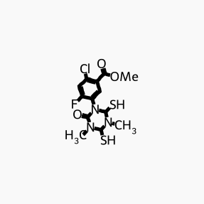 COC(=O)c1cc(N2C(=O)N(C)C(S)N(C)C2S)c(F)cc1Cl